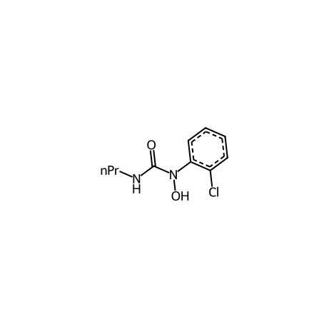 CCCNC(=O)N(O)c1ccccc1Cl